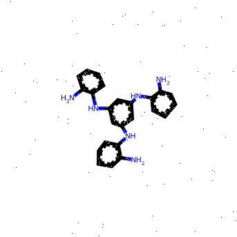 Nc1ccccc1Nc1cc(Nc2ccccc2N)cc(Nc2ccccc2N)c1